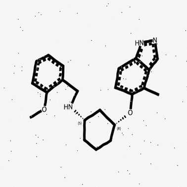 COc1ccccc1CN[C@H]1CCC[C@@H](Oc2ccc3[nH]ncc3c2C)C1